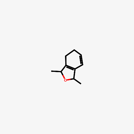 CC1OC(C)C2=C1C=CCC2